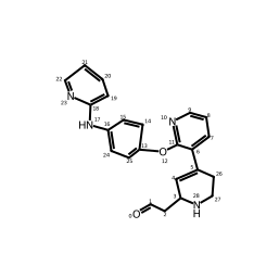 O=CCC1C=C(c2cccnc2Oc2ccc(Nc3ccccn3)cc2)CCN1